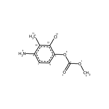 COC(=O)Oc1ccc(N)c(C)c1Cl